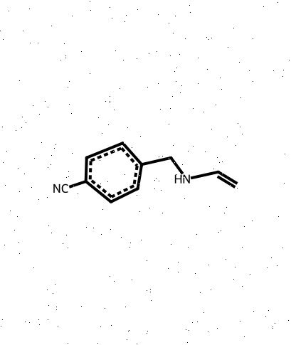 C=CNCc1ccc(C#N)cc1